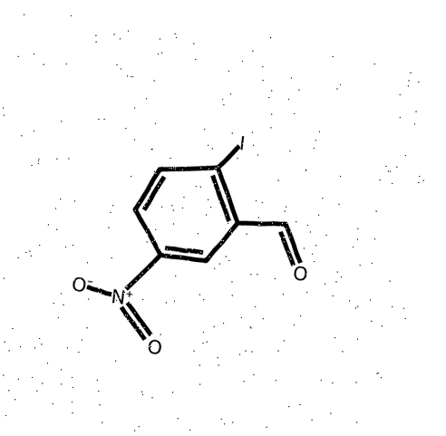 O=Cc1cc([N+](=O)[O-])ccc1I